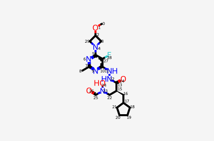 COC1CN(c2nc(C)nc(NNC(=O)[C@@H](CC3CCCC3)CN(O)C=O)c2F)C1